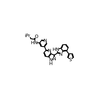 CC(C)CC(=O)Nc1cncc(-c2ccc3[nH]nc(-c4nc5c(-c6ccsc6)cccc5[nH]4)c3n2)c1